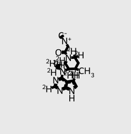 [2H]c1nc(N(C([2H])([2H])[2H])[C@@]2([2H])C([2H])([2H])N(C(=O)C[N+]#[C-])C([2H])([2H])C[C@@]2([2H])C)c2c([2H])c[nH]c2n1